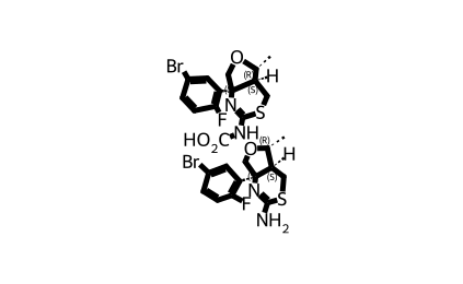 C[C@H]1OC[C@]2(c3cc(Br)ccc3F)N=C(N)SC[C@H]12.C[C@H]1OC[C@]2(c3cc(Br)ccc3F)N=C(NC(=O)O)SC[C@H]12